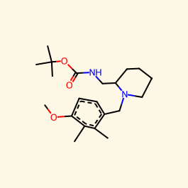 COc1ccc(CN2CCCCC2CNC(=O)OC(C)(C)C)c(C)c1C